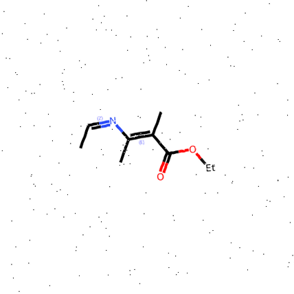 C/C=N\C(C)=C(/C)C(=O)OCC